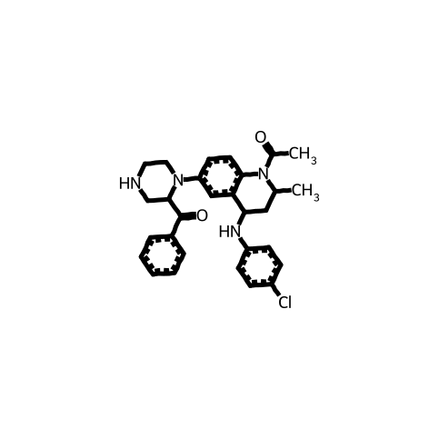 CC(=O)N1c2ccc(N3CCNCC3C(=O)c3ccccc3)cc2C(Nc2ccc(Cl)cc2)CC1C